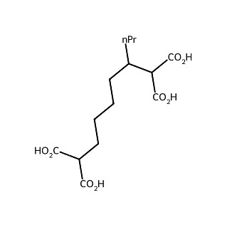 CCCC(CCCCC(C(=O)O)C(=O)O)C(C(=O)O)C(=O)O